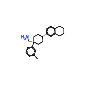 Cc1cccc([C@]2(CN)CC[C@@H](c3ccc4c(c3)CCCC4)CC2)c1